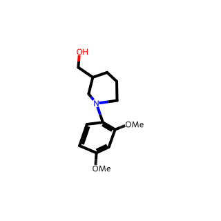 COc1ccc(N2CCCC(CO)C2)c(OC)c1